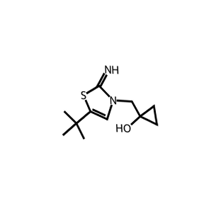 CC(C)(C)c1cn(CC2(O)CC2)c(=N)s1